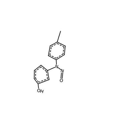 Cc1ccc(N(N=O)c2cccc(O)c2)cc1